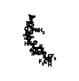 NC(=O)c1sc(C2CC2)nc1O[C@H]1CC2(C[C@H](NC(=O)c3ncn4cc(OCC(O)(C(F)(F)F)C(F)(F)F)ccc34)C2)C1